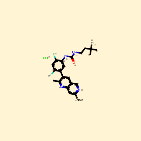 CNc1cc2nc(C)c(-c3cc(NC(=O)NCCC(C)(C)C(F)(F)F)c(F)cc3F)cc2cn1.Cl